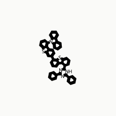 C1=CC(C2N=C(c3ccccc3)N=C(c3ccccc3)N2)C2C(=C1)Sc1c(-c3ccc4c(c3)sc3cccc(-n5c6ccccc6c6ccccc65)c34)cccc12